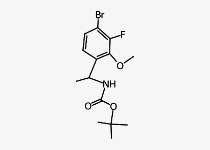 COc1c(C(C)NC(=O)OC(C)(C)C)ccc(Br)c1F